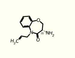 C=CCN1C(=O)[C@@H](N)COc2ccccc21